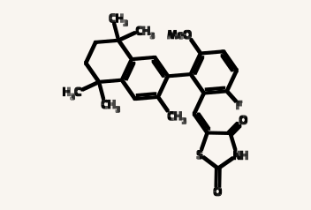 COc1ccc(F)c(/C=C2/SC(=O)NC2=O)c1-c1cc2c(cc1C)C(C)(C)CCC2(C)C